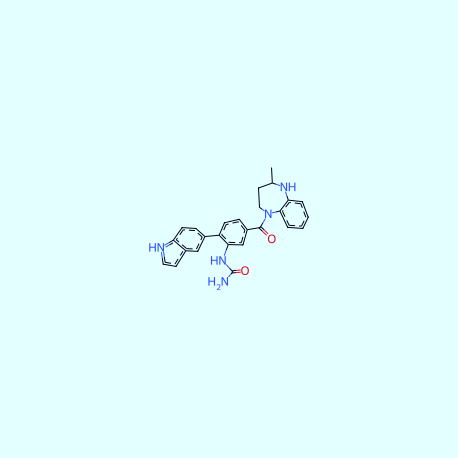 CC1CCN(C(=O)c2ccc(-c3ccc4[nH]ccc4c3)c(NC(N)=O)c2)c2ccccc2N1